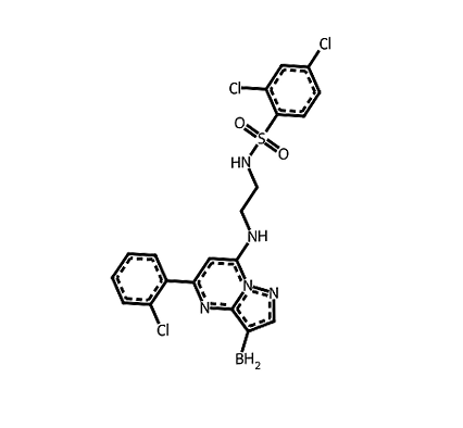 Bc1cnn2c(NCCNS(=O)(=O)c3ccc(Cl)cc3Cl)cc(-c3ccccc3Cl)nc12